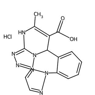 CC1=C(C(=O)O)C(c2ccccc2-n2cccn2)n2nnnc2N1.Cl